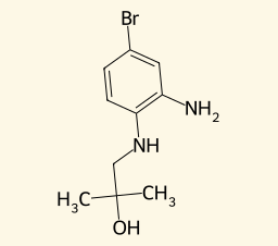 CC(C)(O)CNc1ccc(Br)cc1N